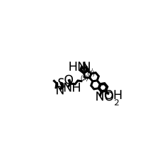 Cc1cnc(NC(=O)CCC[C@@H]2c3c[nH]nc3[C@@]3(C)CCC4c5ccc(O)c([N+](=O)[O-])c5CCC4C23)s1